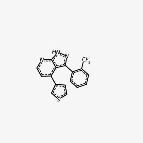 FC(F)(F)c1ccccc1-c1n[nH]c2nccc(-c3ccsc3)c12